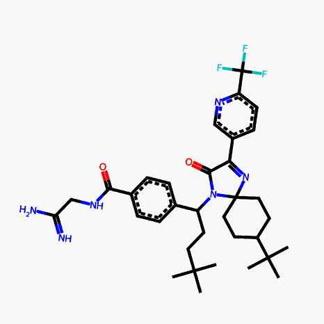 CC(C)(C)CCC(c1ccc(C(=O)NCC(=N)N)cc1)N1C(=O)C(c2ccc(C(F)(F)F)nc2)=NC12CCC(C(C)(C)C)CC2